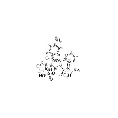 CC(C)CNN(C(=O)O)[C@@H](Cc1ccccc1)[C@@H](OP(=O)(O)O)[C@H](C1CCOC1)S(=O)(=O)c1ccc(N)cc1